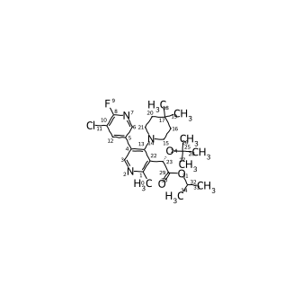 Cc1ncc(-c2cnc(F)c(Cl)c2)c(N2CCC(C)(C)CC2)c1[C@H](OC(C)(C)C)C(=O)OC(C)C